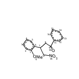 COc1ccccc1C(CC(=O)c1ccccc1)C[N+](=O)[O-]